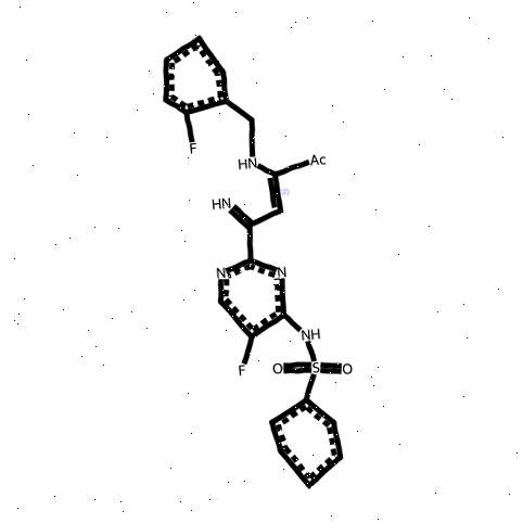 CC(=O)/C(=C/C(=N)c1ncc(F)c(NS(=O)(=O)c2ccccc2)n1)NCc1ccccc1F